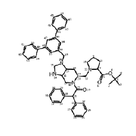 CC(C)(C)OC(=O)C1CCCN1C[C@@H]1CC2C(CN1C(=O)C(c1ccccc1)c1ccccc1)NCN2Cc1cc(-c2ccccc2)cc(-c2ccccc2)c1